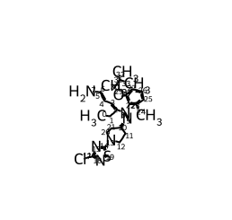 CC/C(=C\C=C(/C)N)N(N=C1CCN(c2nc(Cl)ns2)CC1)c1c(C)cccc1OCC(C)C